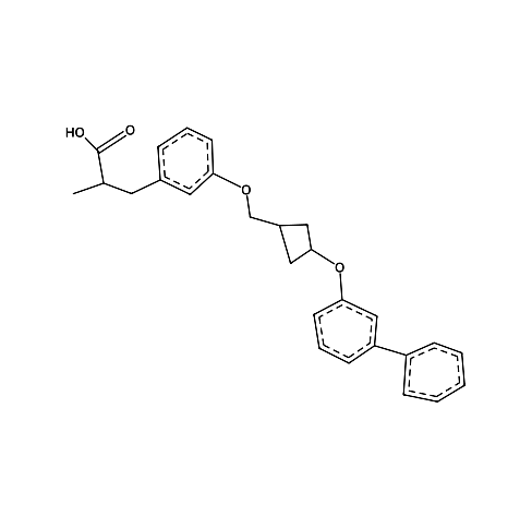 CC(Cc1cccc(OCC2CC(Oc3cccc(-c4ccccc4)c3)C2)c1)C(=O)O